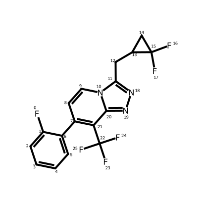 Fc1c[c]ccc1-c1ccn2c(CC3CC3(F)F)nnc2c1C(F)(F)F